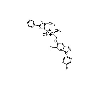 Cc1nc(-c2ccccc2)sc1S(=O)(=O)N[C@@H](C)COc1cc2cnn(-c3ccc(F)cc3)c2cc1Cl